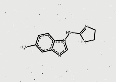 Nc1ccc2c(c1)ncn2NC1=NCCN1